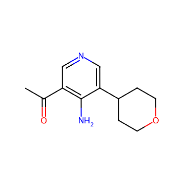 CC(=O)c1cncc(C2CCOCC2)c1N